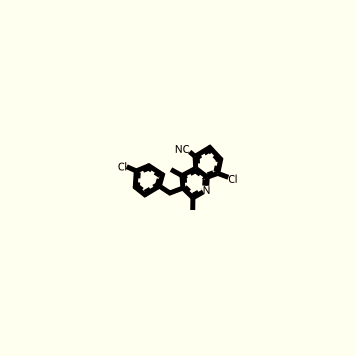 Cc1nc2c(Cl)ccc(C#N)c2c(C)c1Cc1ccc(Cl)cc1